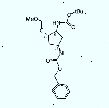 COCO[C@H]1C[C@H](NC(=O)OCc2ccccc2)C[C@@H]1NC(=O)OC(C)(C)C